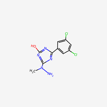 CN(N)c1nc(O)nc(-c2cc(Cl)cc(Cl)c2)n1